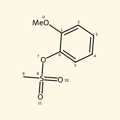 COc1c[c]ccc1OS(C)(=O)=O